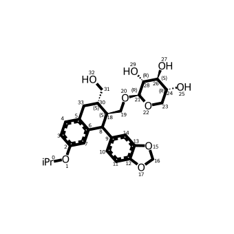 CC(C)Oc1ccc2c(c1)C(c1ccc3c(c1)OCO3)[C@H](CO[C@@H]1OC[C@@H](O)[C@H](O)[C@H]1O)[C@@H](CO)C2